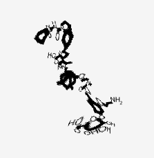 Cc1c(-c2ccc(-c3ccc4c(c3)N(C(=O)Nc3nc5ccccc5s3)CCC4)nc2C(=O)O)cnn1CC12CC3(C)CC(C)(C1)CC(OCCN(C)C(=O)OCc1ccc(O[C@@H]4O[C@H](C(=O)O)[C@@H](O)[C@H](O)[C@H]4O)cc1OCCCN)(C3)C2